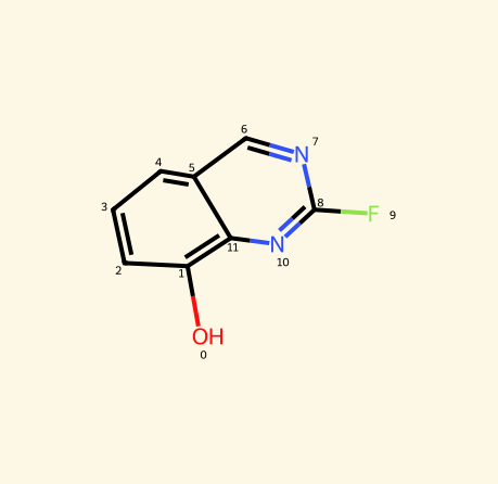 Oc1cccc2cnc(F)nc12